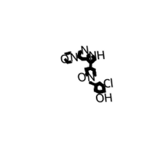 O=c1cc(-c2c[nH]c3ncc(N4CCOCC4)cc23)ccn1Cc1cc(O)cc(Cl)c1